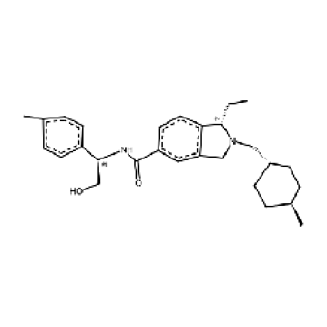 CC[C@H]1c2ccc(C(=O)N[C@@H](CO)c3ccc(C)cc3)cc2CN1C[C@H]1CC[C@H](C)CC1